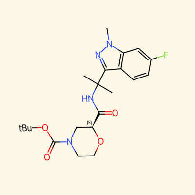 Cn1nc(C(C)(C)NC(=O)[C@@H]2CN(C(=O)OC(C)(C)C)CCO2)c2ccc(F)cc21